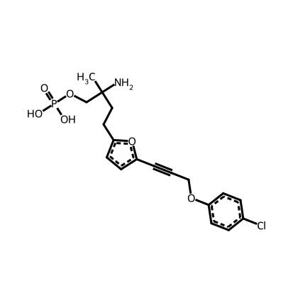 CC(N)(CCc1ccc(C#CCOc2ccc(Cl)cc2)o1)COP(=O)(O)O